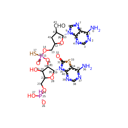 Nc1ncnc2c1ncn2[C@@H]1OC(CO[P@](=O)(S)O[C@@H]2C(O)C(CO[PH](=O)O)O[C@H]2n2c(=O)sc3c(N)ncnc32)CC1C=O